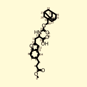 COC(=O)CCc1ccc2oc(CC(NC(=O)OCC34CC5CC(CC(C5)C3)C4)C(=O)O)cc2c1